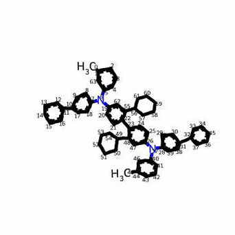 Cc1cccc(N(c2ccc(-c3ccccc3)cc2)c2ccc(-c3ccc(N(c4ccc(-c5ccccc5)cc4)c4cccc(C)c4)cc3C3CCCCC3)c(C3CCCCC3)c2)c1